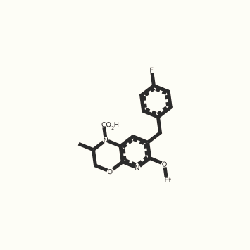 CCOc1nc2c(cc1Cc1ccc(F)cc1)N(C(=O)O)C(C)CO2